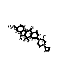 C[C@H]1CN(C2CCC2)CCN1c1ccc2c(c1)C(C)(C)c1[nH]c3cc(N)ccc3c1C2=O